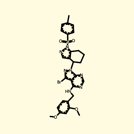 COc1ccc(CNc2ncnc3c2c(Br)nn3C2CCCc3c2cnn3S(=O)(=O)c2ccc(C)cc2)c(OC)c1